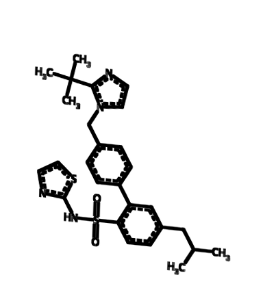 CC(C)Cc1ccc(S(=O)(=O)Nc2nccs2)c(-c2ccc(Cn3ccnc3C(C)(C)C)cc2)c1